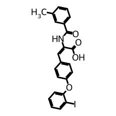 Cc1cccc(C(=O)NC(=Cc2ccc(Oc3ccccc3I)cc2)C(=O)O)c1